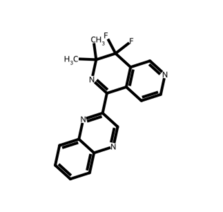 CC1(C)N=C(c2cnc3ccccc3n2)c2ccncc2C1(F)F